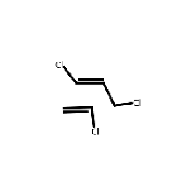 C=CCl.ClC=CCCl